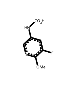 COc1ncc(NC(=O)O)cc1F